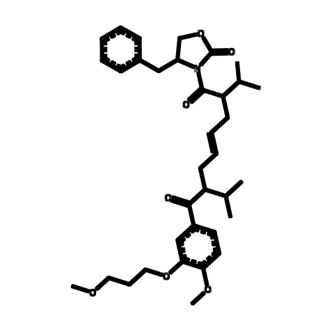 COCCCOc1cc(C(=O)C(CC=CCC(C(=O)N2C(=O)OCC2Cc2ccccc2)C(C)C)C(C)C)ccc1OC